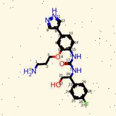 NCCCOc1cc(-c2cn[nH]c2)ccc1NC(=O)NC(CO)c1ccc(F)cc1